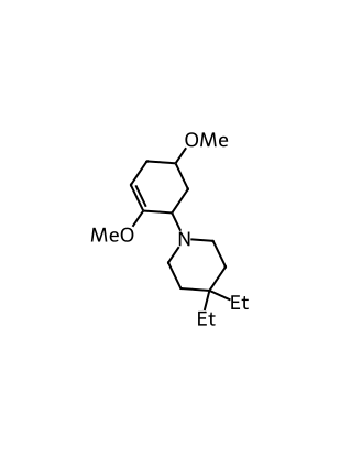 CCC1(CC)CCN(C2CC(OC)CC=C2OC)CC1